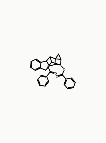 O=C(OC1C2C3c4ccccc4CC3C3C24CC4[C@@]13OC(=O)c1ccccc1)c1ccccc1